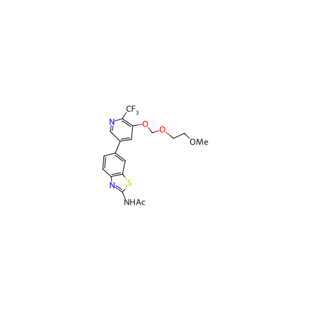 COCCOCOc1cc(-c2ccc3nc(NC(C)=O)sc3c2)cnc1C(F)(F)F